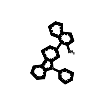 Nc1ccc2ccccc2c1-c1ccc2c3ccccc3n(-c3ccccc3)c2c1